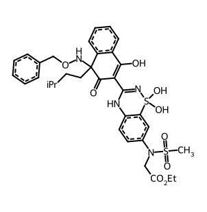 CCOC(=O)CN(c1ccc2c(c1)S(O)(O)N=C(C1=C(O)c3ccccc3C(CCC(C)C)(NOCc3ccccc3)C1=O)N2)S(C)(=O)=O